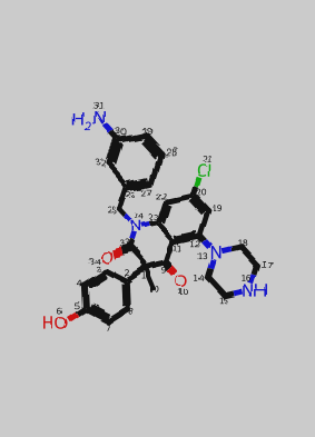 CC1(c2ccc(O)cc2)C(=O)c2c(N3CCNCC3)cc(Cl)cc2N(Cc2cccc(N)c2)C1=O